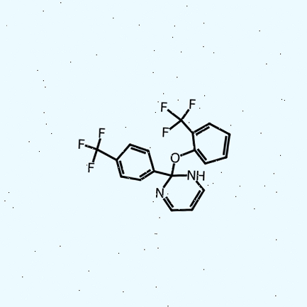 FC(F)(F)c1ccc(C2(Oc3ccccc3C(F)(F)F)N=CC=CN2)cc1